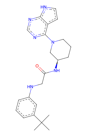 CC(C)(C)c1cccc(NCC(=O)N[C@@H]2CCCN(c3ncnc4[nH]ccc34)C2)c1